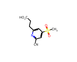 CS(=O)(=O)c1cc(C#N)nc(CCC(=O)O)c1